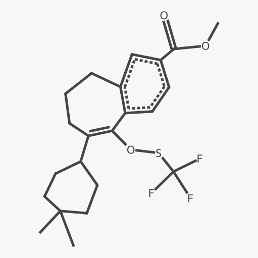 COC(=O)c1ccc2c(c1)CCCC(C1CCC(C)(C)CC1)=C2OSC(F)(F)F